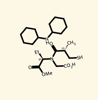 C1CCC(NC2CCCCC2)CC1.CC[C@H](C(=O)OC)N(CC(=O)O)C(=O)[C@H](C)CS